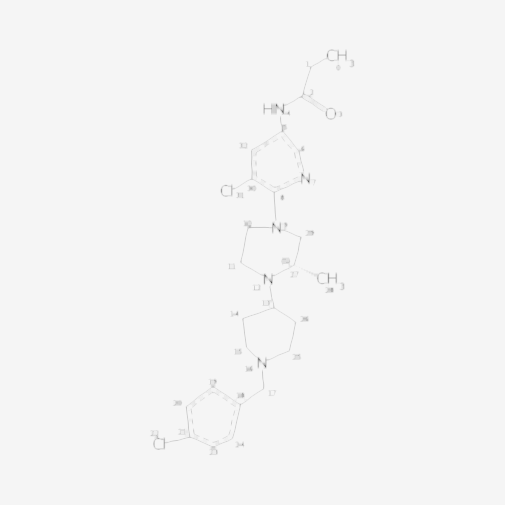 CCC(=O)Nc1cnc(N2CCN(C3CCN(Cc4ccc(Cl)cc4)CC3)[C@@H](C)C2)c(Cl)c1